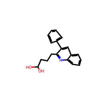 OC(O)CCCc1nc2ccccc2cc1-c1ccccc1